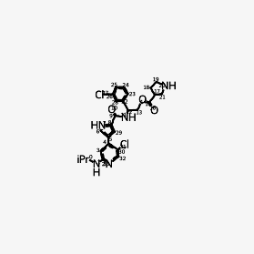 CC(C)Nc1cc(-c2c[nH]c(C(=O)NC(COC(=O)C3CCNC3)c3cccc(Cl)c3)c2)c(Cl)cn1